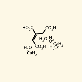 O.O.O.O=C(O)C=C(CC(=O)O)C(=O)O.[CaH2].[CaH2].[CaH2]